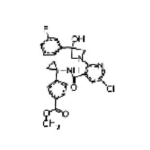 COC(=O)c1ccc(C2(NC(=O)c3cc(Cl)cnc3N3CC(O)(c4cccc(F)c4)C3)CC2)cc1